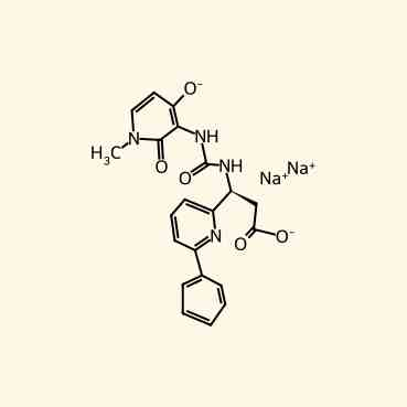 Cn1ccc([O-])c(NC(=O)N[C@@H](CC(=O)[O-])c2cccc(-c3ccccc3)n2)c1=O.[Na+].[Na+]